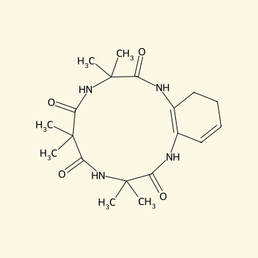 CC1(C)NC(=O)C(C)(C)C(=O)NC(C)(C)C(=O)NC2=C(C=CCC2)NC1=O